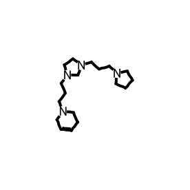 C1=CCN(CCCN2CCN(CCCN3CCCC3)C2)CC1